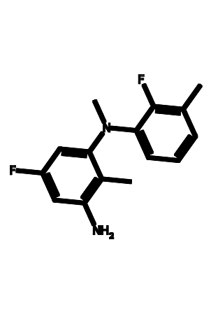 Cc1cccc(N(C)c2cc(F)cc(N)c2C)c1F